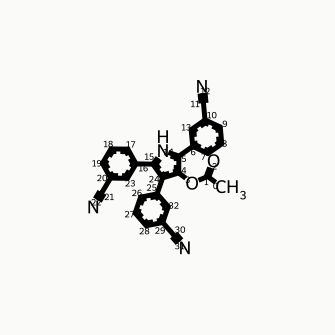 CC(=O)Oc1c(-c2cccc(C#N)c2)[nH]c(-c2cccc(C#N)c2)c1-c1cccc(C#N)c1